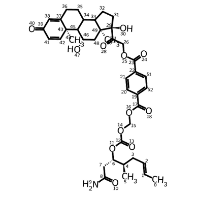 C/C=C/C[C@@H](C)[C@H](CC(N)=O)OC(=O)OCOC(=O)c1ccc(C(=O)OCC(=O)[C@@]2(O)CCC3C4CCC5=CC(=O)C=C[C@]5(C)C4[C@@H](O)C[C@@]32C)cc1